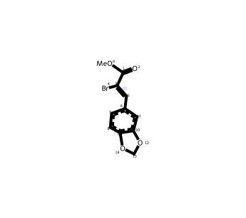 COC(=O)/C(Br)=C/c1ccc2c(c1)OCO2